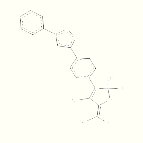 [C-]#[N+]/C(C#N)=C1\OC(C)(C)C(c2ccc(-c3cn(-c4ccccc4)nn3)cc2)=C1C#N